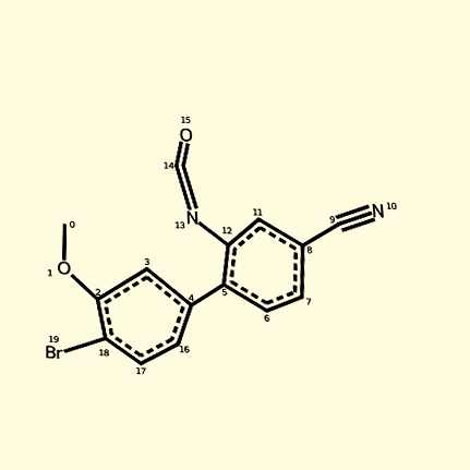 COc1cc(-c2ccc(C#N)cc2N=C=O)ccc1Br